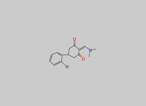 CN(C)C=C1C(=O)CC(c2ccccc2Br)CC1=O